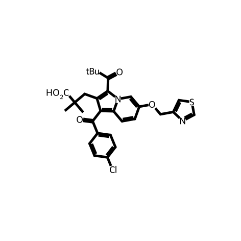 CC(C)(C)C(=O)c1c(CC(C)(C)C(=O)O)c(C(=O)c2ccc(Cl)cc2)c2ccc(OCc3cscn3)cn12